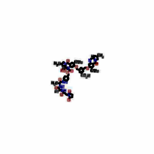 C=C1C[C@H]2C=Nc3cc(OCc4cc(COc5cc6c(cc5OC)C(=O)N5CC(=C)C[C@H]5[C@H](O)N6C(=O)OCc5ccc(NC(=O)C(C)NC(=O)C(NC(=O)CCN6C(=O)C=CC6=O)C(C)C)cc5)cc(C(=O)O)c4)c(OC)cc3C(=O)N2C1